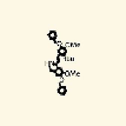 COc1cc(C(C)(C)C)c(/C=C/C2NCCc3cc(OCc4ccccc4)c(OC)cc32)cc1OCc1ccccc1